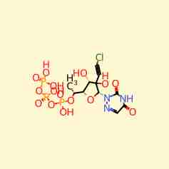 C[C@@H](OP(=O)(O)OP(=O)(O)OP(=O)(O)O)[C@H]1O[C@@H](n2ncc(=O)[nH]c2=O)C(O)(C#CCl)[C@H]1O